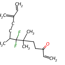 C=CC(=C)CCC(C)C(F)(F)C(C)(C)CCC(=O)C=C